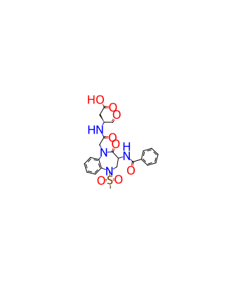 CS(=O)(=O)N1CC(NC(=O)c2ccccc2)C(=O)N(CC(=O)N[C@H](C=O)CC(=O)O)c2ccccc21